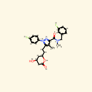 CC(C)c1c(C(=O)N(C)Cc2cccc(F)c2)nn(-c2ccc(F)cc2)c1CCC1CC(O)CC(=O)O1